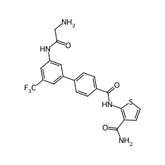 NCC(=O)Nc1cc(-c2ccc(C(=O)Nc3sccc3C(N)=O)cc2)cc(C(F)(F)F)c1